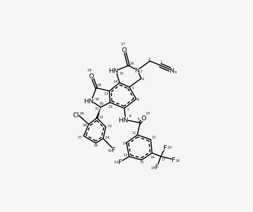 N#CCN1Cc2cc(NC(=O)c3cc(F)cc(C(F)(F)F)c3)c3c(c2NC1=O)C(=O)N[C@@H]3c1cc(F)ccc1Cl